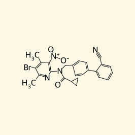 Cc1nc(N(Cc2ccc(-c3ccccc3C#N)cc2)C(=O)C2CC2)c([N+](=O)[O-])c(C)c1Br